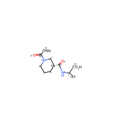 CCC(NC(=O)[C@@H]1CCCN(C(=O)OC)C1)C(=O)O